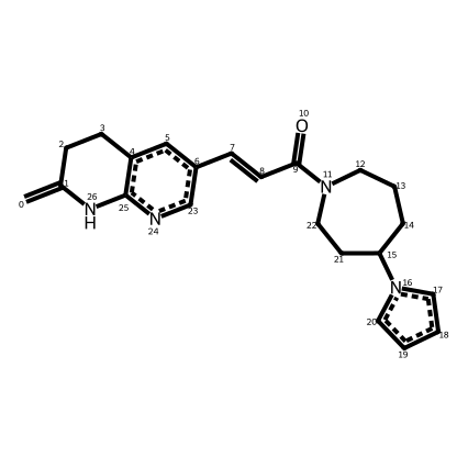 C=C1CCc2cc(/C=C/C(=O)N3CCCC(n4cccc4)CC3)cnc2N1